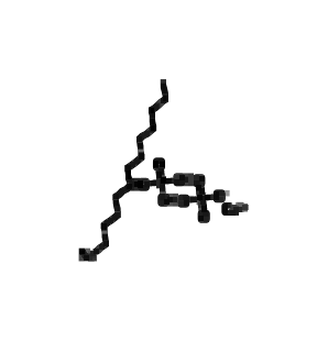 CCCCCCCCCCC[CH2][Na].O=P(O)(O)O.O=S(=O)([O-])[O-].[Ca+2]